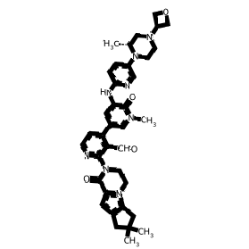 C[C@@H]1CN(C2COC2)CCN1c1ccc(Nc2cc(-c3ccnc(N4CCn5c(cc6c5CC(C)(C)C6)C4=O)c3C=O)cn(C)c2=O)nc1